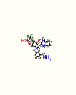 Cn1c(=O)c(-c2cn(Cc3cccc(CN)c3)c3ccccc23)nc2ccccc21.O=C(O)C(F)(F)F